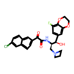 O=C(N[C@H](CN1CCC1)[C@H](O)c1cc(F)c2c(c1)OCCO2)C(=O)c1ccc2cc(Cl)ccc2c1